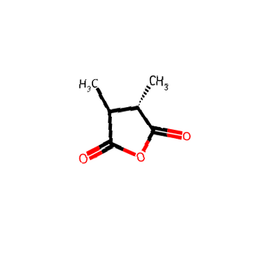 CC1C(=O)OC(=O)[C@H]1C